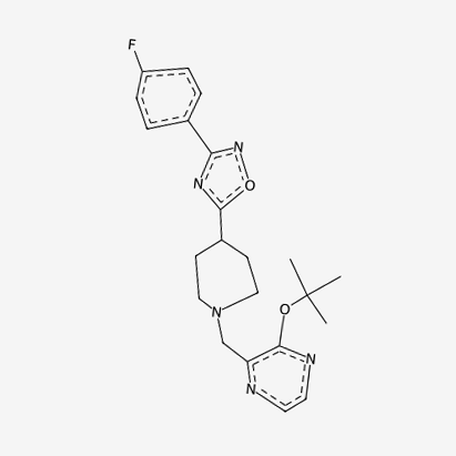 CC(C)(C)Oc1nccnc1CN1CCC(c2nc(-c3ccc(F)cc3)no2)CC1